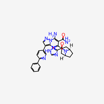 NC(=O)c1c([C@H]2C[C@H]3CC[C@@H](C2)N3C(=O)c2nc[nH]n2)nc2c(-c3ccc(-c4ccccc4)nc3)cnn2c1N